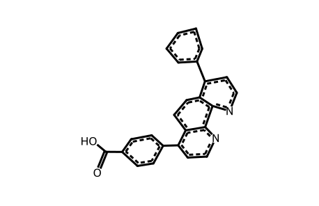 O=C(O)c1ccc(-c2ccnc3c2ccc2c(-c4ccccc4)ccnc23)cc1